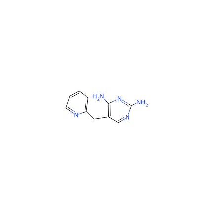 Nc1ncc(Cc2ccccn2)c(N)n1